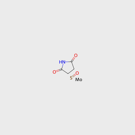 O=C1CCC(=O)N1.O=S.[Mo]